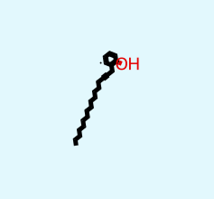 CCCCCCCCCCCCCCC#CCc1[c]cccc1O